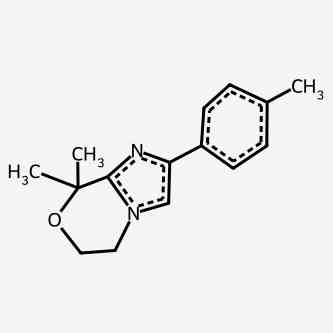 Cc1ccc(-c2cn3c(n2)C(C)(C)OCC3)cc1